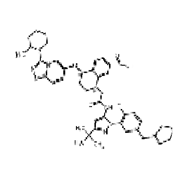 CC1CCCCN1c1nnc2ccc(O[C@@H]3CC[C@H](NC(=O)Nc4cc(C(C)(C)C)nn4-c4cc(CN5CCCC5)ccc4F)c4ccccc43)cn12.O=CO